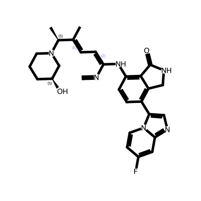 C=N/C(=C\C=C(/C)[C@H](C)N1CCC[C@H](O)C1)Nc1ccc(-c2cnc3cc(F)ccn23)c2c1C(=O)NC2